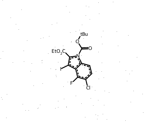 CCOC(=O)c1c(I)c2c(F)c(Cl)ccc2n1C(=O)OC(C)(C)C